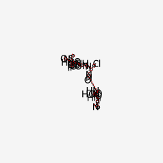 Cc1ncsc1-c1ccc([C@H](C)NC(=O)[C@@H]2C[C@@H](O)CN2C(=O)[C@@H](NCCCCCCCCCC(=O)N2CCN(CCC3(C)CCC(c4ccc(Cl)cc4)=C(CN4CCN(c5ccc(C(=O)NS(=O)(=O)c6ccc(N[C@H](CCN7CCOCC7)CSc7ccccc7)c(S(=O)(=O)C(F)(F)F)c6)cc5)CC4)C3)CC2)C(C)(C)C)cc1